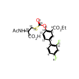 CCOC(=O)c1cc(-c2ccc(F)cc2F)ccc1OC(=O)SC[C@@H](NC(C)=O)C(=O)O